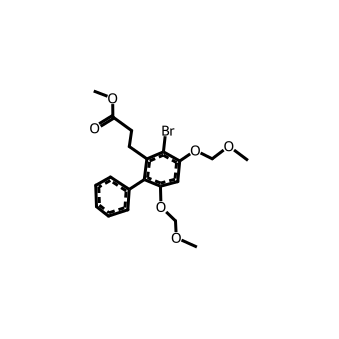 COCOc1cc(OCOC)c(-c2ccccc2)c(CCC(=O)OC)c1Br